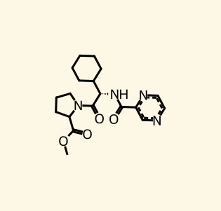 COC(=O)C1CCCN1C(=O)[C@@H](NC(=O)c1cnccn1)C1CCCCC1